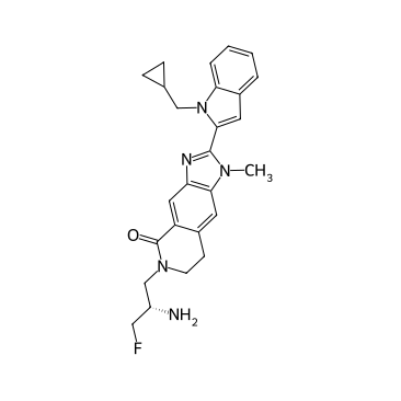 Cn1c(-c2cc3ccccc3n2CC2CC2)nc2cc3c(cc21)CCN(C[C@H](N)CF)C3=O